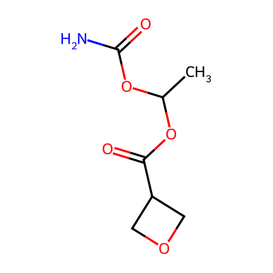 CC(OC(N)=O)OC(=O)C1COC1